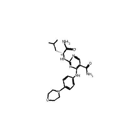 CC(C)C[C@@H](Nc1ncc(C(N)=O)c(Nc2ccc(N3CCOCC3)cc2)n1)C(N)=O